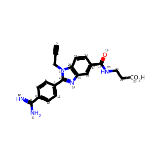 C#CCn1c(-c2ccc(C(=N)N)cc2)nc2cc(C(=O)NCCC(=O)O)ccc21